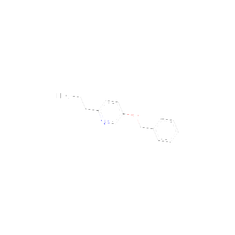 CCCc1ccc(OCc2ccccc2)cn1